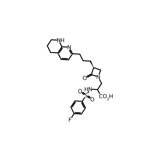 O=C(O)C(CN1C[C@H](CCCc2ccc3c(n2)NCCC3)C1=O)NS(=O)(=O)c1ccc(F)cc1